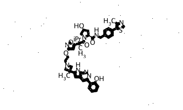 Cc1ncsc1-c1ccc(CNC(=O)[C@@H]2C[C@@H](O)CN2C(=O)[C@](C)(c2cc(OCCN3CC(C)(c4cc5cc(-c6ccccc6O)nnc5[nH]4)C3)no2)C(C)C)cc1